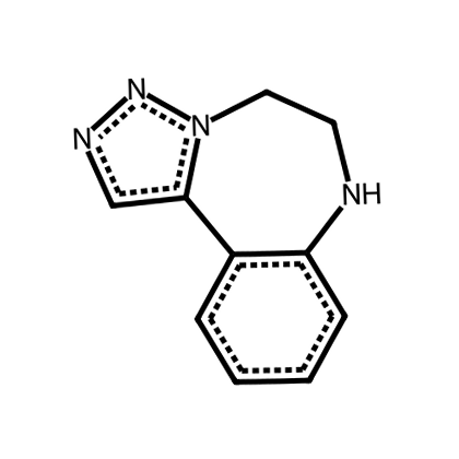 c1ccc2c(c1)NCCn1nncc1-2